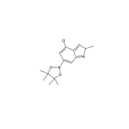 CC1C=c2c(Cl)cc(B3OC(C)(C)C(C)(C)O3)cc2=N1